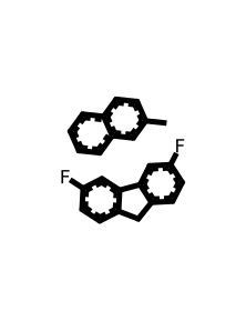 Cc1ccc2ccccc2c1.Fc1ccc2c(c1)-c1cc(F)ccc1C2